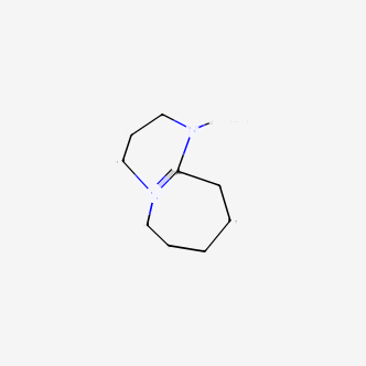 CCCCCCCN1CCC[N+]2=C1CCCCC2